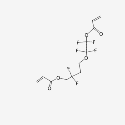 C=CC(=O)OCC(F)(F)CCOC(F)(F)C(F)(F)OC(=O)C=C